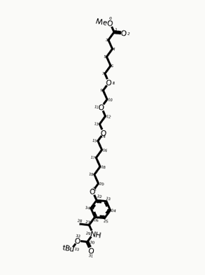 COC(=O)CCCCCOCCOCCOCCCCCCOc1cccc(C(C)NC(=O)OC(C)(C)C)c1